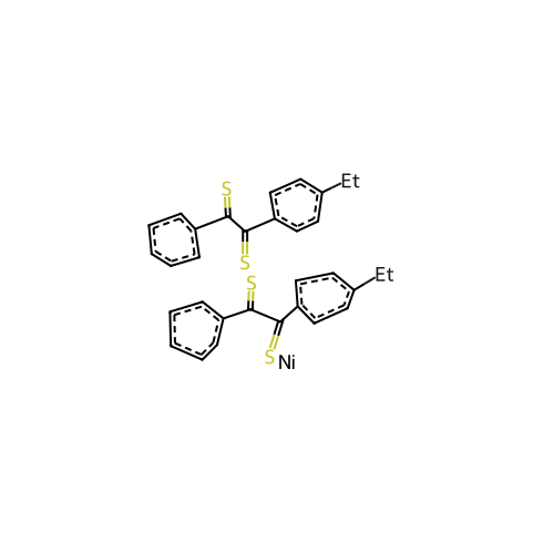 CCc1ccc(C(=S)C(=S)c2ccccc2)cc1.CCc1ccc(C(=S)C(=S)c2ccccc2)cc1.[Ni]